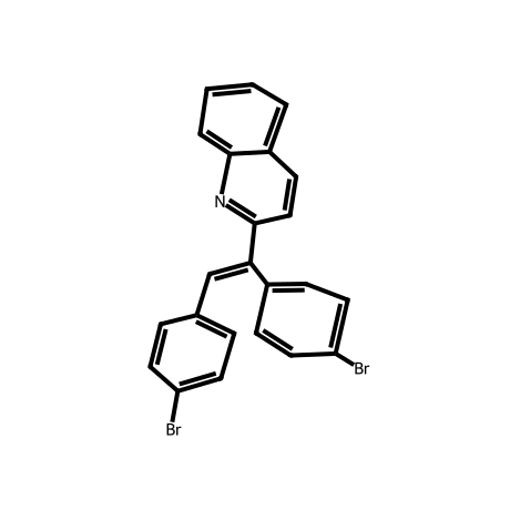 Brc1ccc(C=C(c2ccc(Br)cc2)c2ccc3ccccc3n2)cc1